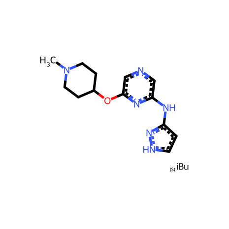 CC[C@H](C)c1cc(Nc2cncc(OC3CCN(C)CC3)n2)n[nH]1